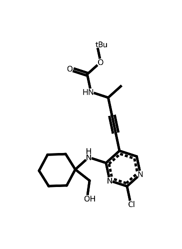 CC(C#Cc1cnc(Cl)nc1NC1(CO)CCCCC1)NC(=O)OC(C)(C)C